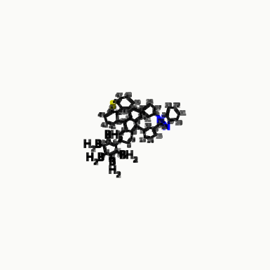 Bc1c(B)c(B)c(-c2ccc3c(-c4cccc(-c5nc6ccccc6n5-c5ccccc5)c4)c4ccccc4c(-c4cccc5sc6ccccc6c45)c3c2)c(B)c1B